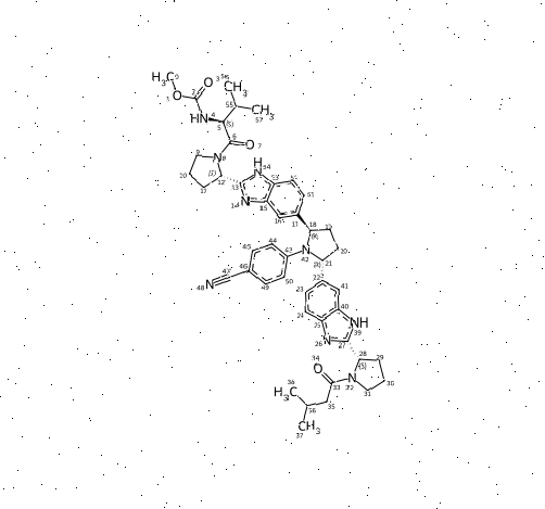 COC(=O)N[C@H](C(=O)N1CCC[C@H]1c1nc2cc([C@H]3CC[C@H](c4ccc5nc([C@@H]6CCCN6C(=O)[CH]C(C)C)[nH]c5c4)N3c3ccc(C#N)cc3)ccc2[nH]1)C(C)C